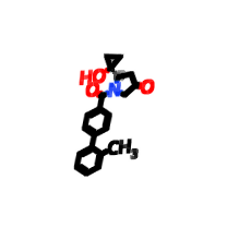 Cc1ccccc1-c1ccc(C(=O)N2CC(=O)C[C@H]2C2(O)CC2)cc1